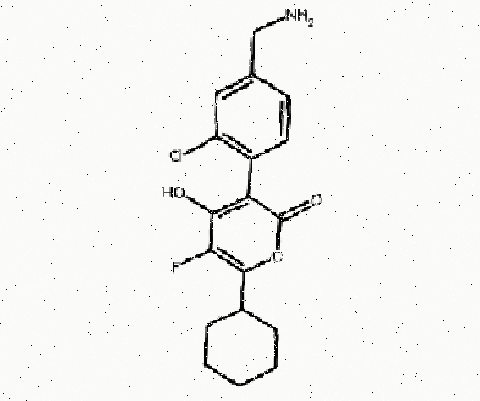 NCc1ccc(-c2c(O)c(F)c(C3CCCCC3)oc2=O)c(Cl)c1